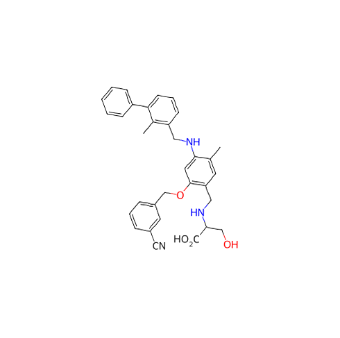 Cc1cc(CNC(CO)C(=O)O)c(OCc2cccc(C#N)c2)cc1NCc1cccc(-c2ccccc2)c1C